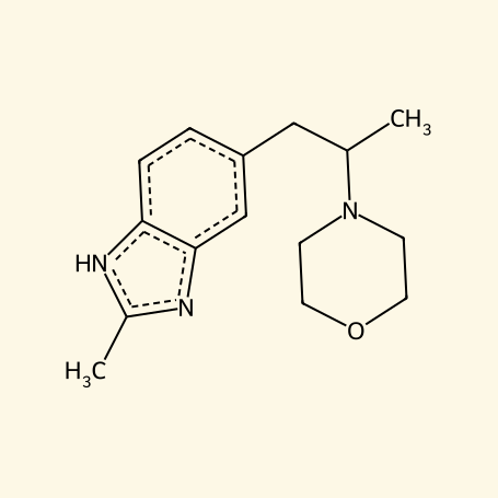 Cc1nc2cc(CC(C)N3CCOCC3)ccc2[nH]1